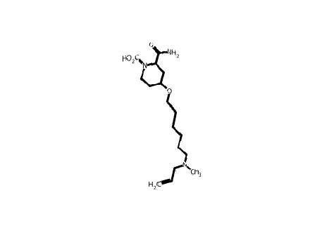 C=CCN(C)CCCCCCOC1CCN(C(=O)O)C(C(N)=O)C1